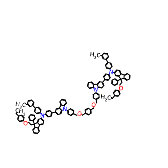 C=Cc1ccc(OCCC2(c3ccccc3)c3ccccc3-c3ccc(N(c4ccc(-c5cccc(C)c5)cc4)c4ccc(-c5ccc6c(c5)c5ccccc5n6-c5ccc(COCc6ccc(COCc7ccc(-n8c9ccccc9c9cc(-c%10ccc(N(c%11ccc(-c%12cccc(C)c%12)cc%11)c%11ccc%12c(c%11)C(CCOc%11ccc(C=C)cc%11)(c%11ccccc%11)c%11ccccc%11-%12)cc%10)ccc98)cc7)cc6)cc5)cc4)cc32)cc1